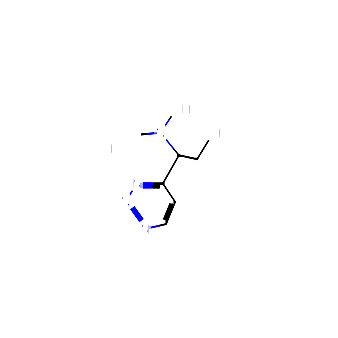 CCC(c1ccnnn1)N(C)C.[HH]